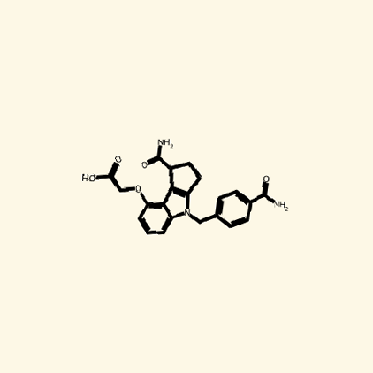 NC(=O)c1ccc(Cn2c3c(c4c(OCC(=O)O)cccc42)C(C(N)=O)CC3)cc1